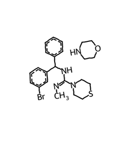 C1COCCN1.CN=C(NC(c1ccccc1)c1cccc(Br)c1)N1CCSCC1